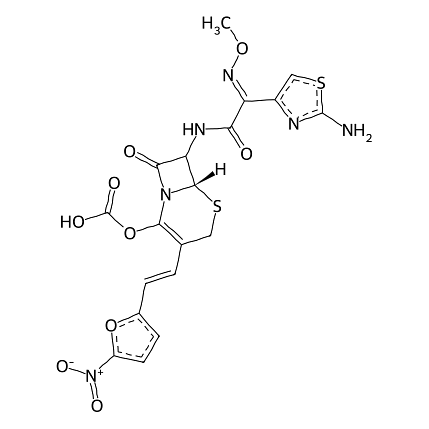 CON=C(C(=O)NC1C(=O)N2C(OC(=O)O)=C(C=Cc3ccc([N+](=O)[O-])o3)CS[C@@H]12)c1csc(N)n1